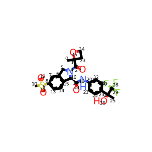 CC1(C(=O)N2Cc3cc(S(C)(=O)=O)ccc3[C@@H]2C(=O)Nc2ccc(C(C)(O)C(F)(F)F)cc2)CCO1